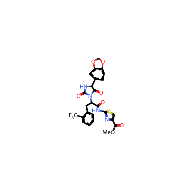 COC(=O)c1csc(NC(=O)C(Cc2ccccc2C(F)(F)F)N2C(=O)NC(c3ccc4c(c3)OCO4)C2=O)n1